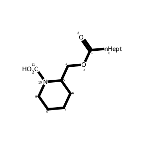 CCCCCCCC(=O)OCC1CCCCN1C(=O)O